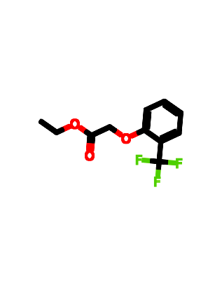 CCOC(=O)COc1ccccc1C(F)(F)F